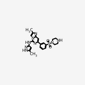 Cc1cn2c(Nc3cc(C)[nH]n3)nc(-c3cccc(S(=O)(=O)N4CCNCC4)c3)cc2n1